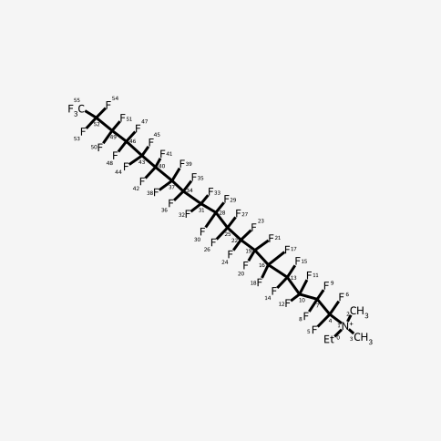 CC[N+](C)(C)C(F)(F)C(F)(F)C(F)(F)C(F)(F)C(F)(F)C(F)(F)C(F)(F)C(F)(F)C(F)(F)C(F)(F)C(F)(F)C(F)(F)C(F)(F)C(F)(F)C(F)(F)C(F)(F)C(F)(F)C(F)(F)F